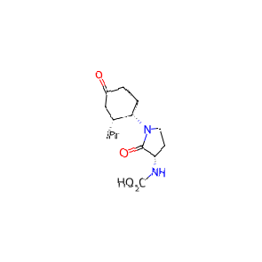 CC(C)[C@@H]1CC(=O)CC[C@@H]1N1CC[C@H](NC(=O)O)C1=O